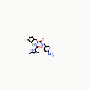 Cc1cc(C)c(C(=O)N[C@@H](Cc2cc(F)c(F)cc2F)C(=O)NCc2ccc(N)nc2)[nH]1